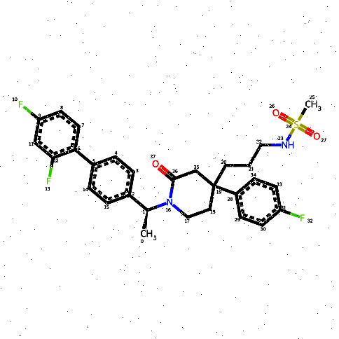 C[C@@H](c1ccc(-c2ccc(F)cc2F)cc1)N1CCC(CCCNS(C)(=O)=O)(c2ccc(F)cc2)CC1=O